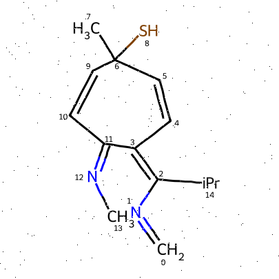 C=N/C(=C1/C=CC(C)(S)C=C/C1=N/C)C(C)C